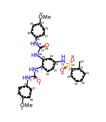 COc1ccc(NC(=O)Nc2ccc(NS(=O)(=O)c3ccccc3C)cc2NC(=O)Nc2ccc(OC)cc2)cc1